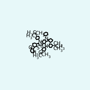 CC(C)(C)c1ccc(N2c3cc4c(c5c3B(c3cc(C(C)(C)C)ccc3N5c3ccc(C(C)(C)C)cc3)c3sc5c(ccc6oc7ccccc7c65)c32)c2ccccc2n4-c2ccccc2)cc1